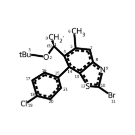 [CH2][C@H](OC(C)(C)C)c1c(C)cc2nc(Br)sc2c1-c1ccc(Cl)cc1